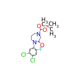 CC(C)(C)OC(=O)N1CCCN(c2cc(Cl)c(Cl)cc2F)C(=O)C1